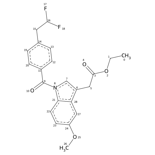 CCOC(=O)Cc1cn(C(=O)c2ccc(CC(F)F)cc2)c2ccc(OC)cc12